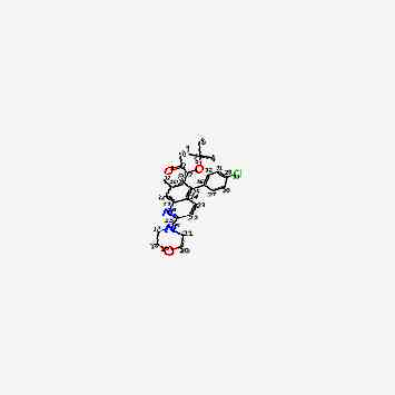 CC(=O)[C@@H](OC(C)(C)C)c1c(C)cc2nc(N3CCOCC3)ccc2c1-c1ccc(Cl)cc1